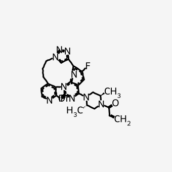 C=CC(=O)N1C[C@H](C)N(c2nc(=O)n3c4nc(c(F)cc24)-c2cn(nn2)CCCc2ccnc(C(C)C)c2-3)C[C@H]1C